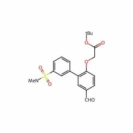 CNS(=O)(=O)c1cccc(-c2cc(C=O)ccc2OCC(=O)OC(C)(C)C)c1